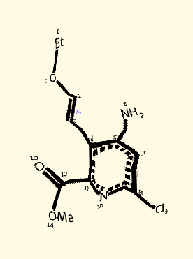 CCO/C=C/c1c(N)cc(Cl)nc1C(=O)OC